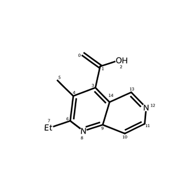 C=C(O)c1c(C)c(CC)nc2ccncc12